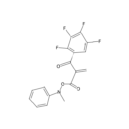 C=C(C(=O)ON(C)c1ccccc1)C(=O)c1cc(F)c(F)c(F)c1F